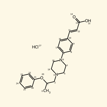 CC(CN1CCN(c2ccc(C=CC(=O)O)cc2)CC1)Oc1ccccc1.Cl